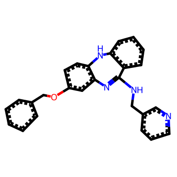 c1ccc(COc2ccc3c(c2)N=C(NCc2cccnc2)c2ccccc2N3)cc1